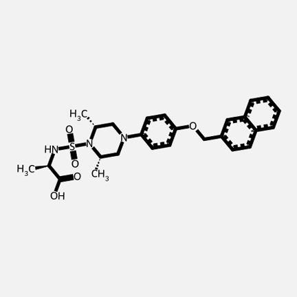 C[C@@H]1CN(c2ccc(OCc3ccc4ccccc4c3)cc2)C[C@H](C)N1S(=O)(=O)N[C@H](C)C(=O)O